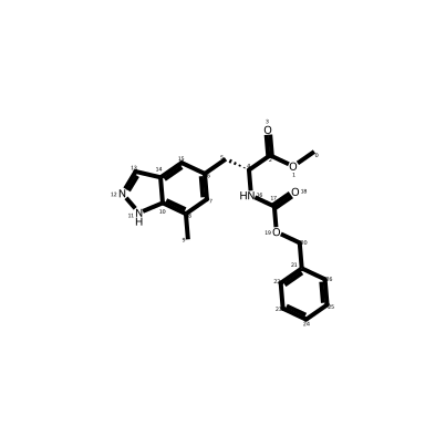 COC(=O)[C@@H](Cc1cc(C)c2[nH]ncc2c1)NC(=O)OCc1ccccc1